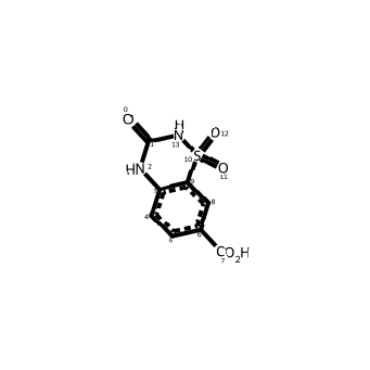 O=C1Nc2ccc(C(=O)O)cc2S(=O)(=O)N1